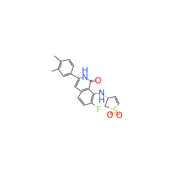 Cc1ccc(-c2cc3ccc(F)c(N[C@@H]4C=CS(=O)(=O)C4)c3c(=O)[nH]2)cc1C